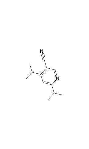 CC(C)c1cc(C(C)C)c(C#N)cn1